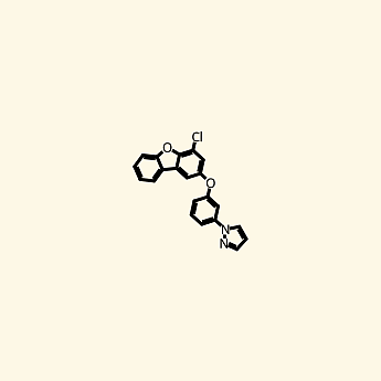 Clc1cc(Oc2cccc(-n3cccn3)c2)cc2c1oc1ccccc12